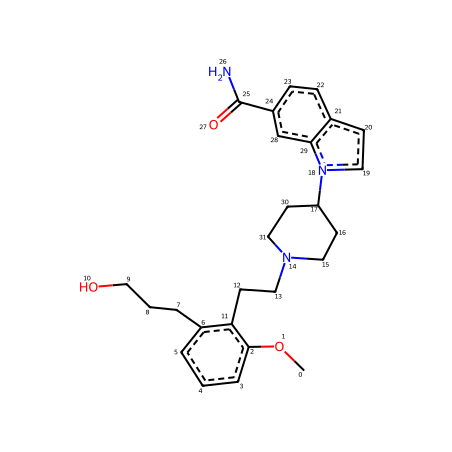 COc1cccc(CCCO)c1CCN1CCC(n2ccc3ccc(C(N)=O)cc32)CC1